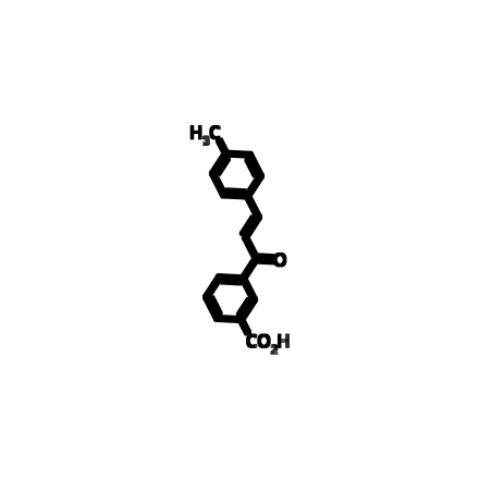 Cc1ccc(C=CC(=O)c2cccc(C(=O)O)c2)cc1